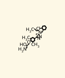 CCCCN(Cc1ccccc1Cl)c1nnc(-c2cc(C)c(OCC(O)CN)c(C)c2)s1